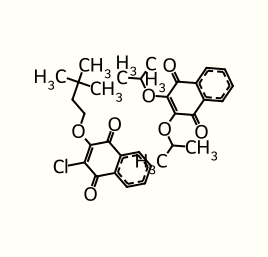 CC(C)(C)CCOC1=C(Cl)C(=O)c2ccccc2C1=O.CC(C)OC1=C(OC(C)C)C(=O)c2ccccc2C1=O